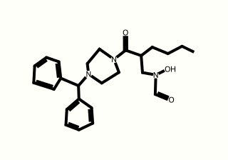 CCCCC(CN(O)C=O)C(=O)N1CCN(C(c2ccccc2)c2ccccc2)CC1